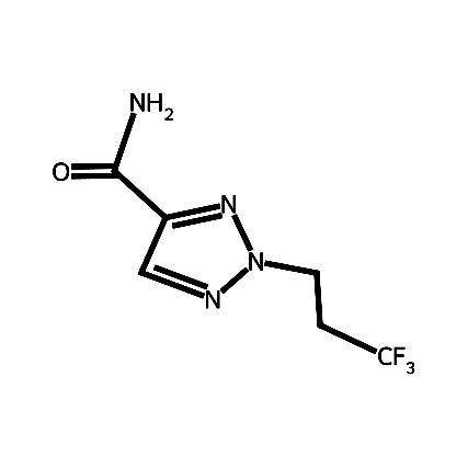 NC(=O)c1cnn(CCC(F)(F)F)n1